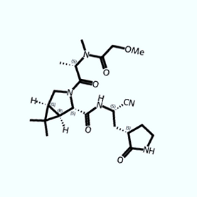 COCC(=O)N(C)[C@@H](C)C(=O)N1C[C@H]2[C@@H]([C@H]1C(=O)N[C@H](C#N)C[C@@H]1CCNC1=O)C2(C)C